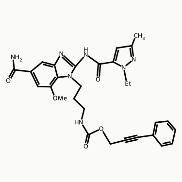 CCn1nc(C)cc1C(=O)Nc1nc2cc(C(N)=O)cc(OC)c2n1CCCNC(=O)OCC#Cc1ccccc1